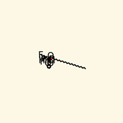 CCCCCCCCCCCCCCCCCCCCCCOC(=O)[C@H](Cc1cc(F)cc(F)c1)NP(=O)(Cl)Oc1ccccc1